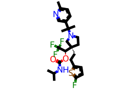 Cc1ccc(C(C)(C)N2CC[C@@](CCc3ccc(F)s3)([C@H](OC(=O)NC(C)C)C(F)(F)F)C2)cn1